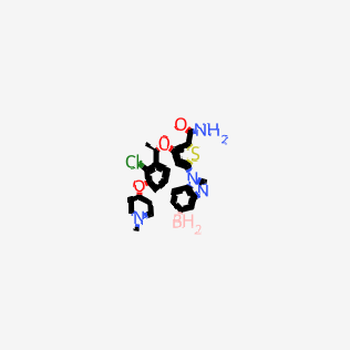 Bc1ccc2c(c1)ncn2-c1cc(O[C@H](C)c2cccc(OC3CCN(C)CC3)c2Cl)c(C(N)=O)s1